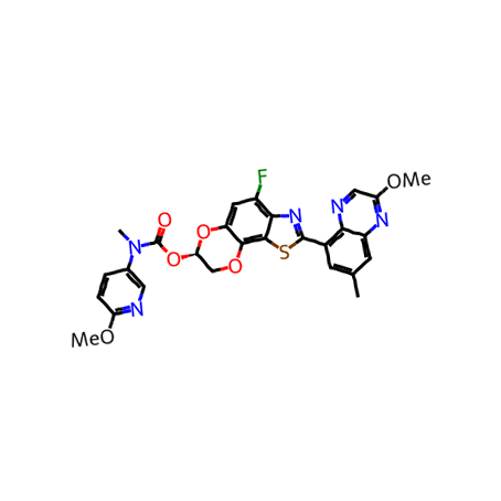 COc1ccc(N(C)C(=O)O[C@@H]2COc3c(cc(F)c4nc(-c5cc(C)cc6nc(OC)cnc56)sc34)O2)cn1